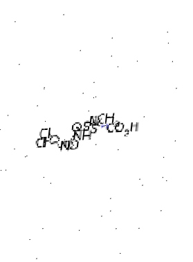 Cc1nc(SCC(=O)NCC2CN(Cc3ccc(Cl)c(Cl)c3)CCO2)sc1/C=C/C(=O)O